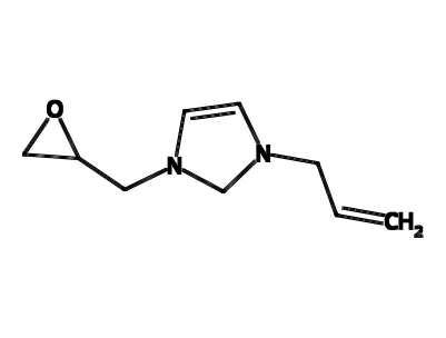 C=CCN1C=CN(CC2CO2)C1